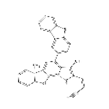 C#C/C=C\c1[nH]c2c3c(cc(-c4ccc5sc6ccccc6c5c4)c2c1C)C1(C)C=CC=CC1O3